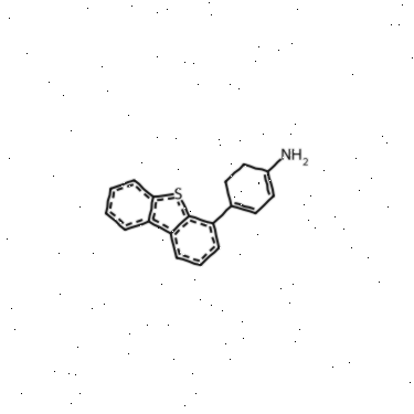 NC1=CC=C(c2cccc3c2sc2ccccc23)CC1